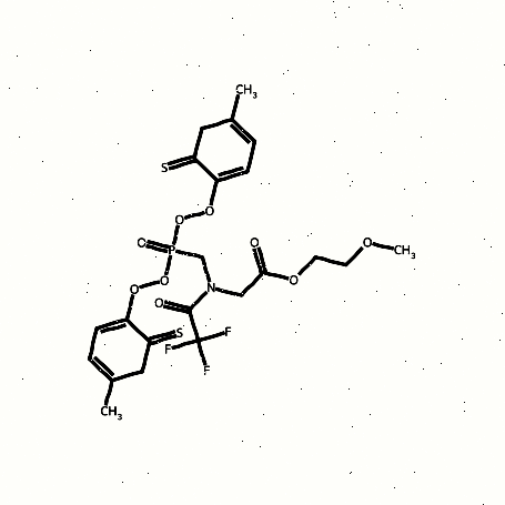 COCCOC(=O)CN(CP(=O)(OOC1=CC=C(C)CC1=S)OOC1=CC=C(C)CC1=S)C(=O)C(F)(F)F